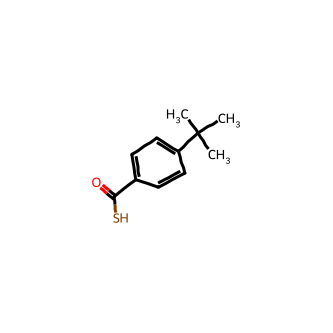 CC(C)(C)c1ccc(C(=O)S)cc1